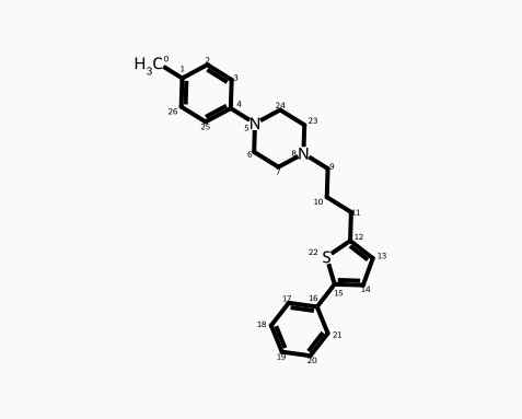 Cc1ccc(N2CCN(CCCc3ccc(-c4ccccc4)s3)CC2)cc1